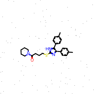 Cc1ccc(-c2nc(SCCCC(=O)N3CCCCC3)[nH]c2-c2ccc(C)cc2)cc1